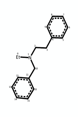 CCN(CCc1ccccc1)Cc1ccccc1